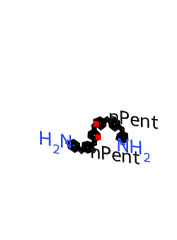 CCCCCc1cc(Cc2ccc(N)cc2)ccc1Cc1ccc(Cc2ccc(Cc3ccc(Cc4ccc(N)cc4)cc3CCCCC)cc2)cc1